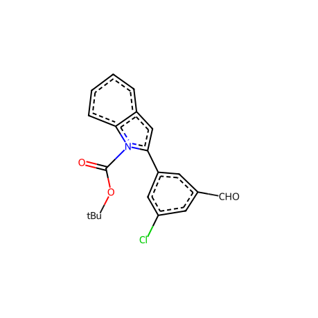 CC(C)(C)OC(=O)n1c(-c2cc(Cl)cc(C=O)c2)cc2ccccc21